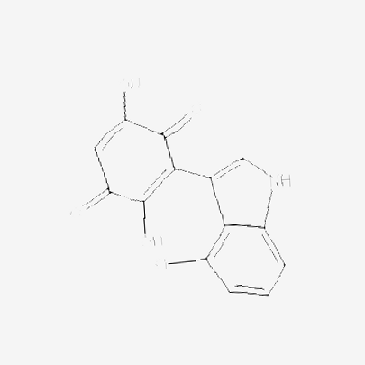 O=C1C=C(O)C(=O)C(c2c[nH]c3cccc(Cl)c23)=C1O